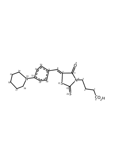 O=C(O)CCCN1C(=O)C(=Cc2ccc(N3CCCCC3)cc2)SC1=S